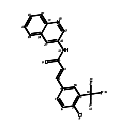 O=C(C=Cc1ccc(Cl)c(C(F)(F)F)c1)Nc1cnc2ccccc2c1